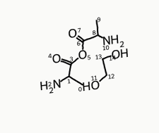 CC(N)C(=O)OC(=O)C(C)N.OCCO